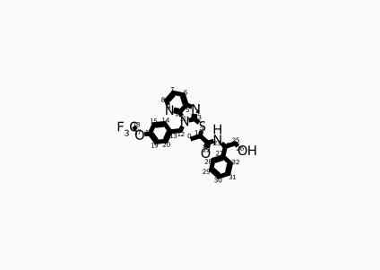 CC(Sc1nc2cccnc2n1Cc1ccc(OC(F)(F)F)cc1)C(=O)NC(CO)c1ccccc1